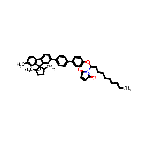 CCCCCCCCCC(Oc1ccc(-c2ccc(-c3ccc4c(c3)C3(c5cc(C)ccc5-4)C4(C)CCC3(C)CC4)cc2)cc1)N1C(=O)C=CC1=O